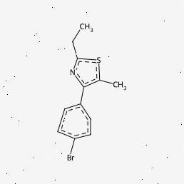 CCc1nc(-c2ccc(Br)cc2)c(C)s1